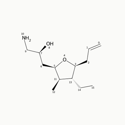 C=CC[C@@H]1O[C@H](C[C@H](O)CN)[C@H](C)[C@H]1CC